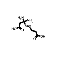 NC(N)(CC(=O)O)SSCCC(=O)O